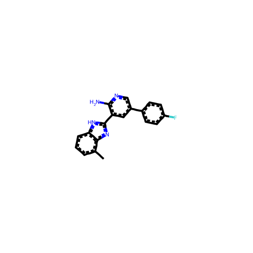 Cc1cccc2[nH]c(-c3cc(-c4ccc(F)cc4)cnc3N)nc12